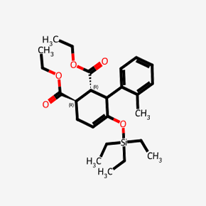 CCOC(=O)[C@@H]1C(c2ccccc2C)C(O[Si](CC)(CC)CC)=CC[C@H]1C(=O)OCC